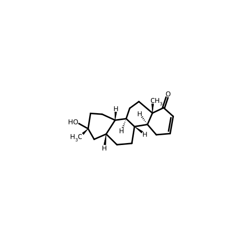 C[C@@]1(O)CC[C@H]2[C@H](CC[C@@H]3[C@@H]2CC[C@]2(C)C(=O)C=CC[C@@H]32)C1